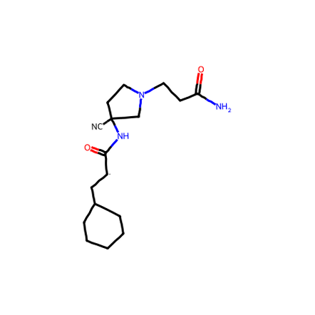 N#CC1(NC(=O)[CH]CC2CCCCC2)CCN(CCC(N)=O)C1